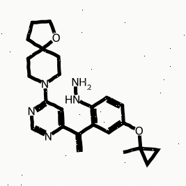 C=C(c1cc(N2CCC3(CCCO3)CC2)ncn1)c1cc(OC2(C)CC2)ccc1NN